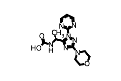 C[C@H](NC(=O)O)c1nc(N2CCOCC2)nn1-c1ncccn1